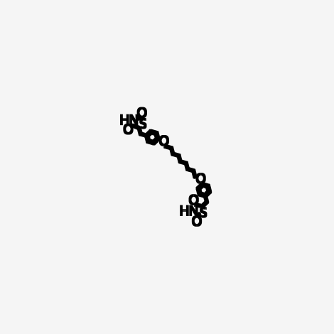 O=C1NC(=O)C(Cc2ccc(OCCCCCCCCCOc3ccc(CC4SC(=O)NC4=O)cc3)cc2)S1